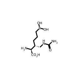 NC(=O)NC[C@@H](CCCB(O)O)[C@H](N)C(=O)O